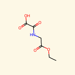 CCOC(=O)CNC(=O)C(=O)O